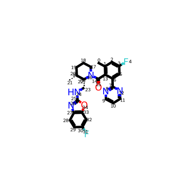 Cc1cc(F)cc(-c2ncccn2)c1C(=O)N1CCC[C@@H](C)[C@H]1CNc1nc2ccc(F)cc2o1